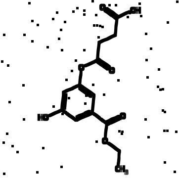 CCOC(=O)c1cc(O)cc(OC(=O)CCC(=O)O)c1